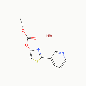 Br.CCOC(=O)Oc1csc(-c2cccnc2)n1